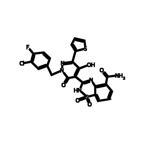 NC(=O)c1c[c]cc2c1N=C(c1c(O)c(-c3cccs3)nn(Cc3ccc(F)c(Cl)c3)c1=O)NS2(=O)=O